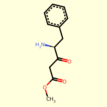 COC(=O)CC(=O)[C@@H](N)Cc1ccccc1